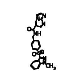 Cn1nc(S(=O)(=O)c2ccc(CNC(=O)c3cnc4nccn4c3)cc2)c2ccccc21